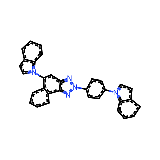 c1ccc2c(c1)ccn2-c1ccc(-n2nc3cc(-n4ccc5ccccc54)c4ccccc4c3n2)cc1